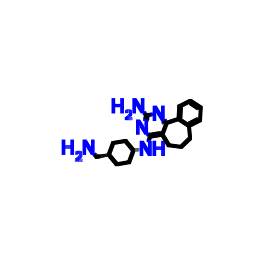 NC[C@H]1CC[C@H](Nc2nc(N)nc3c2CCCc2ccccc2-3)CC1